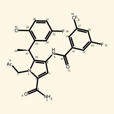 CC(=O)Cn1c(C(N)=O)cc(NC(=O)c2cc(F)cc(C(F)(F)F)c2)c1[C@@H](C)c1cc(F)ccc1Cl